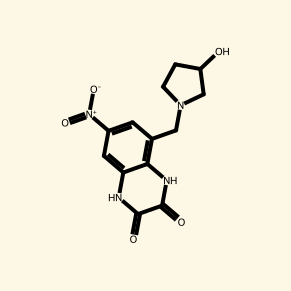 O=c1[nH]c2cc([N+](=O)[O-])cc(CN3CCC(O)C3)c2[nH]c1=O